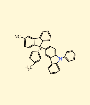 Cc1ccc([C@@]2(c3ccc4c(c3)c3ccccc3n4-c3ccccc3)c3ccccc3-c3cc(C#N)ccc32)cc1